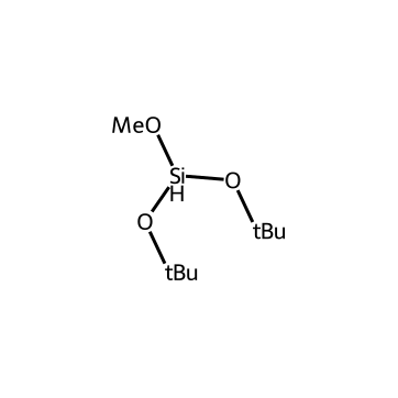 CO[SiH](OC(C)(C)C)OC(C)(C)C